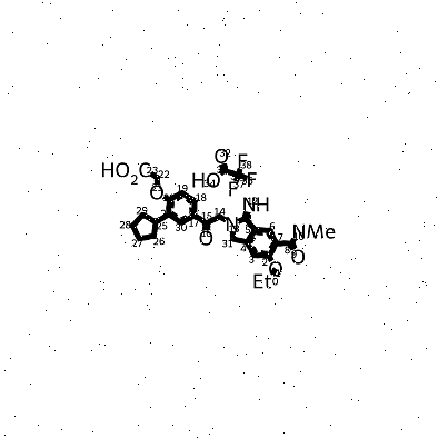 CCOc1cc2c(cc1C(=O)NC)C(=N)N(CC(=O)c1ccc(OCC(=O)O)c(C3CCCC3)c1)C2.O=C(O)C(F)(F)F